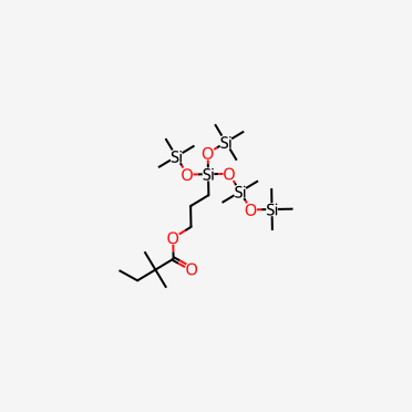 CCC(C)(C)C(=O)OCCC[Si](O[Si](C)(C)C)(O[Si](C)(C)C)O[Si](C)(C)O[Si](C)(C)C